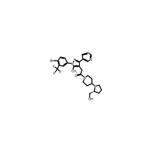 Cc1c(CC(=O)N2CCC(N3CCC[C@H]3CO)CC2)c(-c2cncnc2)nn1-c1ccc(Br)c(C(F)(F)F)c1